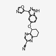 N#Cc1cnc2c(n1)CCC[C@@H]2Oc1ccc2[nH]nc(-c3cnco3)c2c1